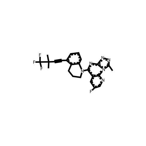 Cc1nnc2nc(N3CCCc4c(C#CC(C)(C)C(F)(F)F)cccc43)c3cc(F)cnc3n12